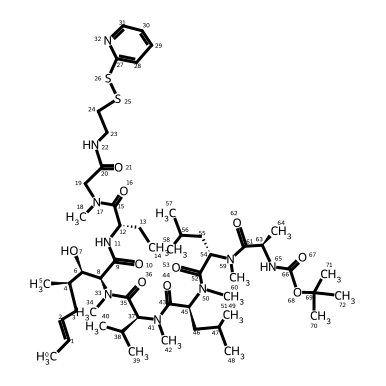 C/C=C/C[C@@H](C)[C@@H](O)[C@@H](C(=O)N[C@@H](CC)C(=O)N(C)CC(=O)NCCSSc1ccccn1)N(C)C(=O)[C@H](C(C)C)N(C)C(=O)[C@H](CC(C)C)N(C)C(=O)[C@H](CC(C)C)N(C)C(=O)[C@@H](C)NC(=O)OC(C)(C)C